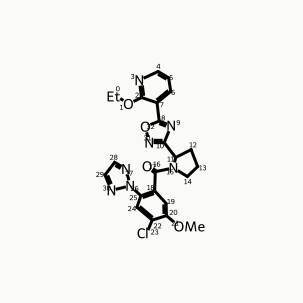 CCOc1ncccc1-c1nc(C2CCCN2C(=O)c2cc(OC)c(Cl)cc2-n2nccn2)no1